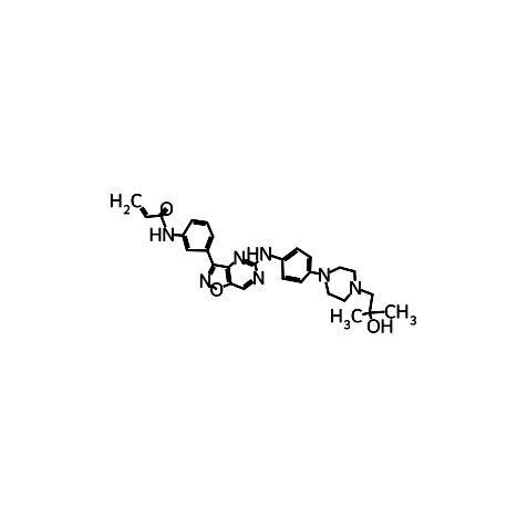 C=CC(=O)Nc1cccc(-c2noc3cnc(Nc4ccc(N5CCN(CC(C)(C)O)CC5)cc4)nc23)c1